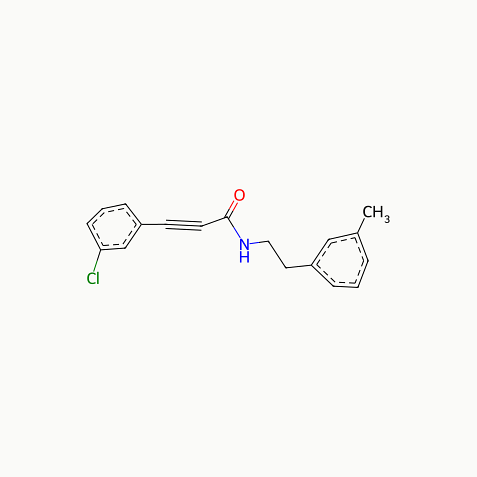 Cc1cccc(CCNC(=O)C#Cc2cccc(Cl)c2)c1